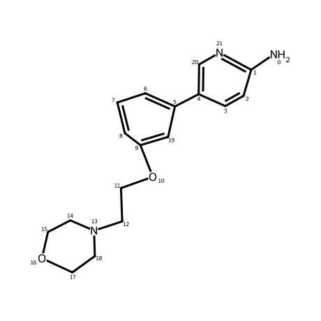 Nc1ccc(-c2cccc(OCCN3CCOCC3)c2)cn1